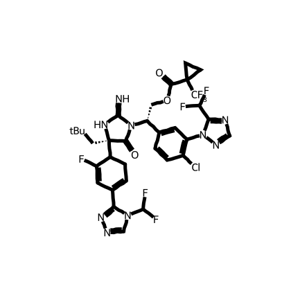 CC(C)(C)C[C@]1(C2CC=C(c3nncn3C(F)F)C=C2F)NC(=N)N([C@H](COC(=O)C2(C(F)(F)F)CC2)c2ccc(Cl)c(-n3ncnc3C(F)F)c2)C1=O